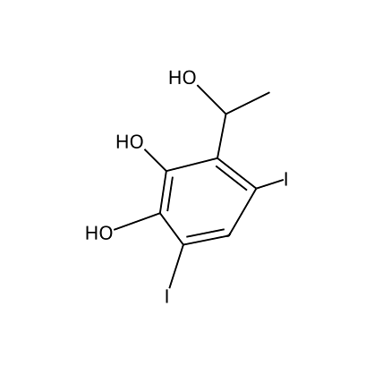 CC(O)c1c(I)cc(I)c(O)c1O